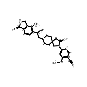 COc1cc(N2CC3(CCN(CC(O)c4ccc5c(c4C)COC5=O)CC3)CC2=O)ncc1C#N